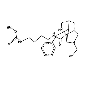 CC(C)CN1CC2CC3CNC2(C(=O)NCCCCNC(=O)OC(C)(C)C)C1C3Cc1ccccc1